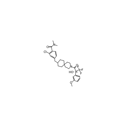 COc1cccc([C@@](O)(C(=O)N2CCC3(CCC(Cc4ccc(C(=O)N(C)C)c(Cl)c4)CC3)CC2)C(F)(F)F)c1